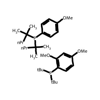 CCCC(C)(C)P(c1ccc(OC)cc1)C(C)(C)CCC.COc1ccc(P(C(C)(C)C)C(C)(C)C)c(OC)c1